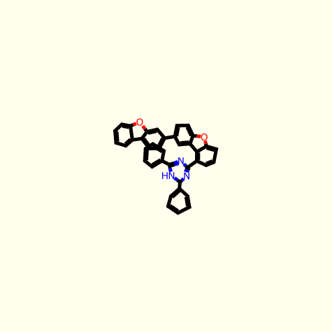 c1ccc(C2=NC(c3cccc4oc5ccc(-c6ccc7c(c6)oc6ccccc67)cc5c34)=NC(c3ccccc3)N2)cc1